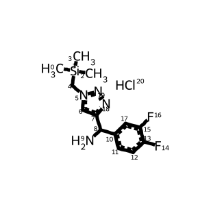 C[Si](C)(C)Cn1cc(C(N)c2ccc(F)c(F)c2)nn1.Cl